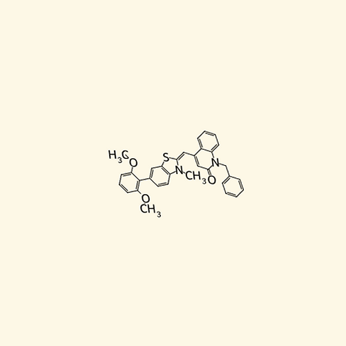 COc1cccc(OC)c1-c1ccc2c(c1)SC(=Cc1cc(=O)n(Cc3ccccc3)c3ccccc13)N2C